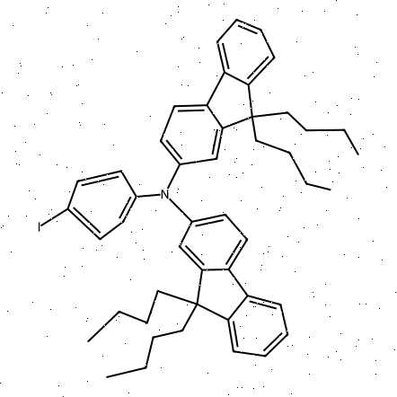 CCCCC1(CCCC)c2ccccc2-c2ccc(N(c3ccc(I)cc3)c3ccc4c(c3)C(CCCC)(CCCC)c3ccccc3-4)cc21